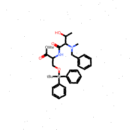 COC(=O)C(CO[Si](c1ccccc1)(c1ccccc1)C(C)(C)C)NC(=O)C(C(C)O)N(C)Cc1ccccc1